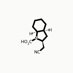 N#CC[C@@H]1C[C@@H]2CCCC[C@@H]2N1C(=O)O